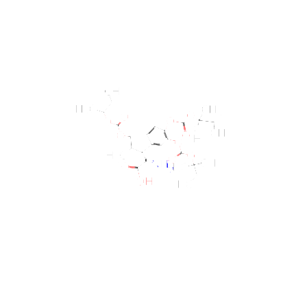 CCC(C)OC(=O)OCC(C)C(c1ccc(OC(=O)OC(C)(C)CC)c(OC(=O)OC(C)(C)CC)c1)[C@H](N)C(=O)O